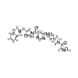 CO/N=C(/C)C(=O)N1CCC2(CC1)CC(Nc1cc(C(=O)NC[C@H](O)CN3CCc4ccccc4C3)ncn1)C2